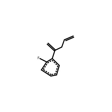 C=CCC(=C)c1ccccc1F